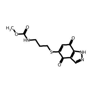 COC(=O)NCCCSC1=CC(=O)c2[nH]ncc2C1=O